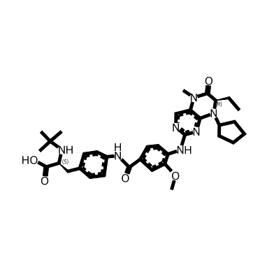 CC[C@@H]1C(=O)N(C)c2cnc(Nc3ccc(C(=O)Nc4ccc(C[C@H](NC(C)(C)C)C(=O)O)cc4)cc3OC)nc2N1C1CCCC1